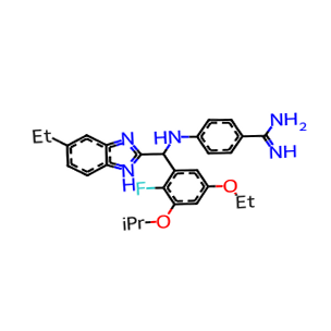 CCOc1cc(OC(C)C)c(F)c(C(Nc2ccc(C(=N)N)cc2)c2nc3cc(CC)ccc3[nH]2)c1